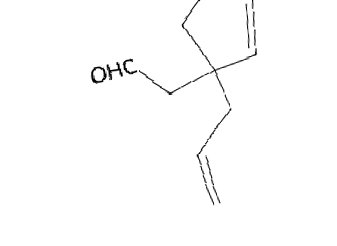 C=CCC1(CC=O)C=CCC1